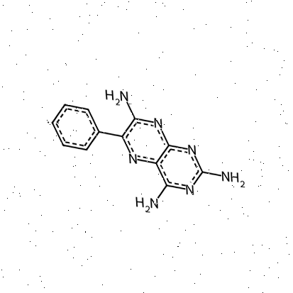 Nc1nc(N)c2nc(-c3cc[c]cc3)c(N)nc2n1